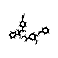 COc1cc(C(=O)COc2c(C(=O)c3ccc(C#N)cc3)sc3ccccc23)ccc1OCc1ccccc1